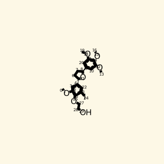 COc1cc([C@@H]2CC[C@@H](c3cc(OC)c(OC)c(OC)c3)O2)cc(I)c1OCCO